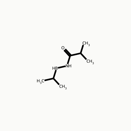 CC(C)BNC(=O)C(C)C